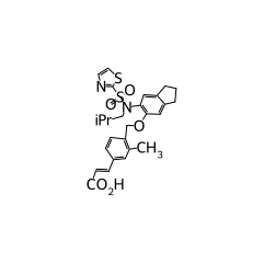 Cc1cc(C=CC(=O)O)ccc1COc1cc2c(cc1N(CC(C)C)S(=O)(=O)c1nccs1)CCC2